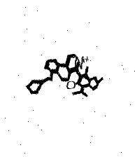 Cc1ccc2c(C(C)C)c3c(c(C)c2c1)-c1c2c(cc4c(CC5CCCC5)cccc4c2cc[n+]1C)O3